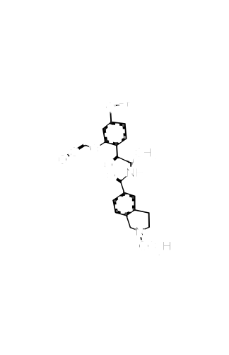 CCOc1ccc(C(=O)[C@H](C)NC(=O)c2ccc3c(c2)CCN(C(=O)O)C3)c(OC=C=O)c1